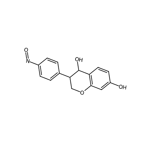 O=Nc1ccc(C2COc3cc(O)ccc3C2O)cc1